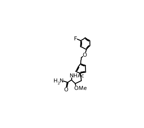 COC(Cc1ccc(COc2cccc(F)c2)cc1)C(NC(C)=O)C(N)=O